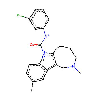 Cc1ccc2c(c1)c1c(n2C(=O)Nc2cccc(F)c2)CCCN(C)C1